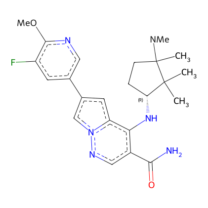 CNC1(C)CC[C@@H](Nc2c(C(N)=O)cnn3cc(-c4cnc(OC)c(F)c4)cc23)C1(C)C